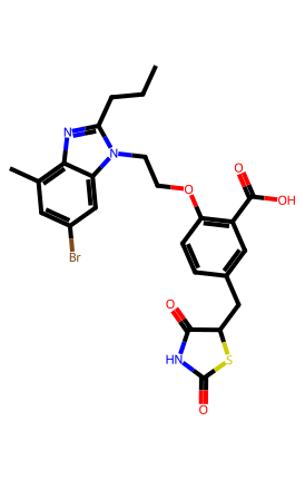 CCCc1nc2c(C)cc(Br)cc2n1CCOc1ccc(CC2SC(=O)NC2=O)cc1C(=O)O